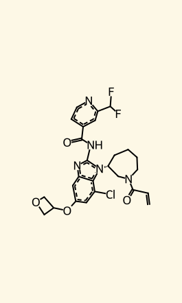 C=CC(=O)N1CCCC[C@@H](n2c(NC(=O)c3ccnc(C(F)F)c3)nc3cc(OC4COC4)cc(Cl)c32)C1